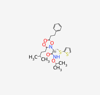 CC(C)CCC(=O)N(OC(=O)CCc1ccccc1)[C@H](CSc1cccs1)C(=O)NOC(C)C